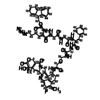 CC[C@@]1(O)C(=O)OCc2c1cc1n(c2=O)Cc2c-1nc1cc(F)c(C)c3c1c2[C@@H](NC(=O)COCNC(=O)CNC(=O)[C@H](Cc1ccccc1)NC(=O)CNC(=O)CNC(=O)[C@@H](CCCCN=[N+]=[N-])NC(=O)OCC1c2ccccc2-c2ccccc21)CC3